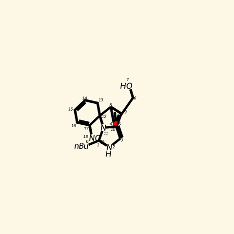 CCCCC1Nc2nc(CO)c3cc2N1C31CC=CC=C1[N+](=O)[O-]